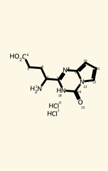 Cl.Cl.NC(CCC(=O)O)c1nc2cccn2c(=O)[nH]1